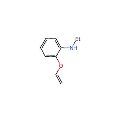 C=COc1ccccc1NCC